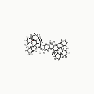 Cc1ccccc1N(c1ccccc1C)c1cc2c(c3oc4ccccc4c13)-c1cc3c(cc1[Si]2(C)C)-c1c(cc(N(c2ccccc2C)c2ccccc2C)c2c1oc1ccccc12)[Si]3(C)C